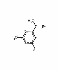 CC(C)[C@@H](C)c1cc(F)cc(C(F)(F)F)c1